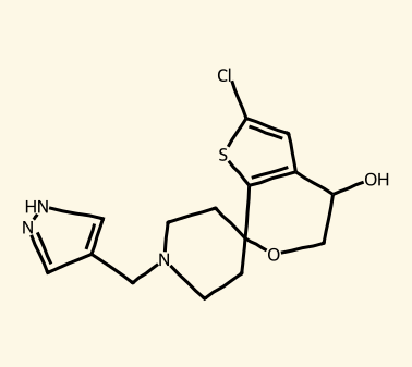 OC1COC2(CCN(Cc3cn[nH]c3)CC2)c2sc(Cl)cc21